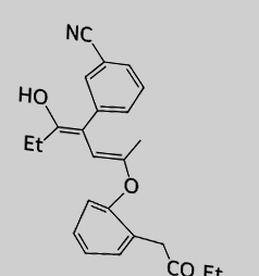 CCOC(=O)Cc1ccccc1OC(C)=C/C(=C(/O)CC)c1cccc(C#N)c1